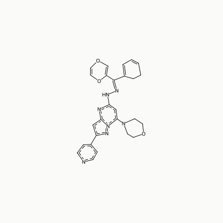 C1=CCCC(C(=NNc2cc(N3CCOCC3)n3nc(-c4ccncc4)cc3n2)C2=COC=CO2)=C1